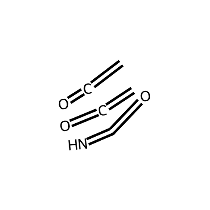 C=C=O.C=C=O.N=C=O